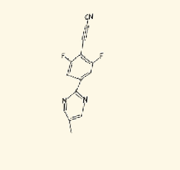 Cc1cnc(-c2cc(F)c(C#CC#N)c(F)c2)nc1